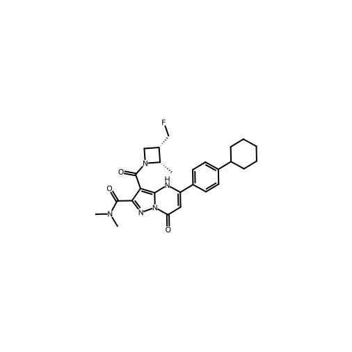 C[C@H]1[C@@H](CF)CN1C(=O)c1c(C(=O)N(C)C)nn2c(=O)cc(-c3ccc(C4CCCCC4)cc3)[nH]c12